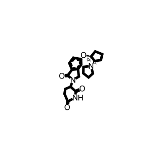 O=C1CCC(N2Cc3cc(O[C@H]4CCC[C@@H]4N4CCCC4)ccc3C2=O)C(=O)N1